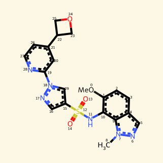 COc1ccc2cnn(C)c2c1NS(=O)(=O)c1cnn(-c2cc(C3COC3)ccn2)c1